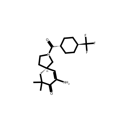 CC1(C)C[C@]2(C=C(N)C1=O)CCN(C(=O)[C@H]1CC[C@H](C(F)(F)F)CC1)C2